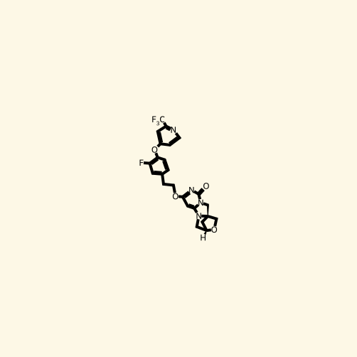 O=c1nc(OCCc2ccc(Oc3ccnc(C(F)(F)F)c3)c(F)c2)cc2n1C[C@]13CO[C@H](CN21)C3